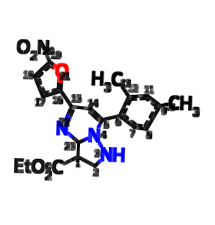 CCOC(=O)C1CNN2C(c3ccc(C)cc3C)=CC(c3ccc([N+](=O)[O-])o3)=NC12